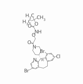 CC(C)(C)OC(=O)NOCC(=O)N1CCC([C@H]2c3ncc(Br)cc3CCc3cc(Cl)cc(Br)c32)CC1